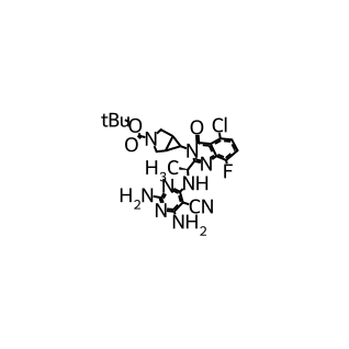 C[C@H](Nc1nc(N)nc(N)c1C#N)c1nc2c(F)ccc(Cl)c2c(=O)n1C1C2CN(C(=O)OC(C)(C)C)CC21